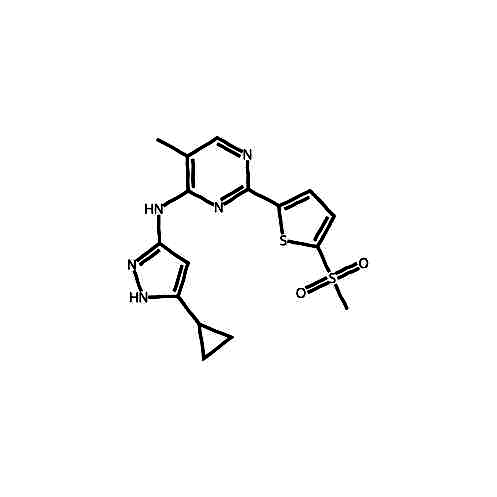 Cc1cnc(-c2ccc(S(C)(=O)=O)s2)nc1Nc1cc(C2CC2)[nH]n1